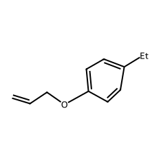 [CH2]Cc1ccc(OCC=C)cc1